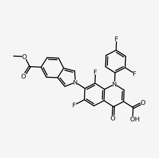 COC(=O)c1ccc2cn(-c3c(F)cc4c(=O)c(C(=O)O)cn(-c5ccc(F)cc5F)c4c3F)cc2c1